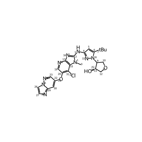 Cn1c(Nc2cc(C(C)(C)C)n(C3COC[C@H]3O)n2)nc2ncc(Oc3cnn4ccnc4c3)c(Cl)c21